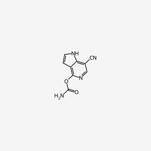 N#Cc1cnc(OC(N)=O)c2cc[nH]c12